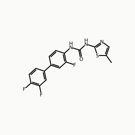 Cc1cnc(NC(=O)Nc2ccc(-c3ccc(F)c(F)c3)cc2F)s1